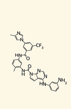 Cc1cn(-c2cc(C(=O)Nc3ccc(C)c(NC(=O)n4ccc5c(Nc6cccc(N)c6)ncnc54)c3)cc(C(F)(F)F)c2)cn1